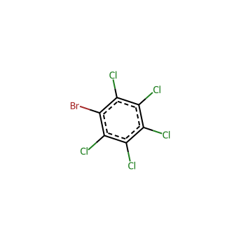 Clc1c(Cl)c(Cl)c(Br)c(Cl)c1Cl